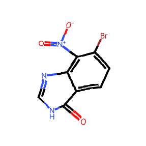 O=c1[nH]cnc2c([N+](=O)[O-])c(Br)ccc12